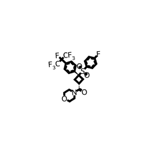 O=C([C@H]1C[C@@](c2ccc(C(F)(C(F)(F)F)C(F)(F)F)cc2)(S(=O)(=O)c2ccc(F)cc2)C1)N1CCOCC1